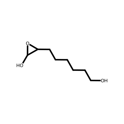 OCCCCCCC1OC1O